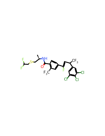 C[C@H](CSCC(F)F)NC(=O)c1ccc(/C(F)=C/C(c2cc(Cl)c(Cl)c(Cl)c2)C(F)(F)F)cc1C(F)(F)F